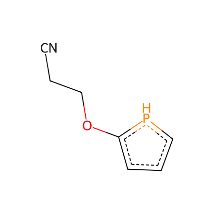 N#CCCOc1ccc[pH]1